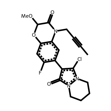 CC#CCN1C(=O)C(OC)Oc2cc(F)c(-c3c(Cl)n4n(c3=O)CCCC4)cc21